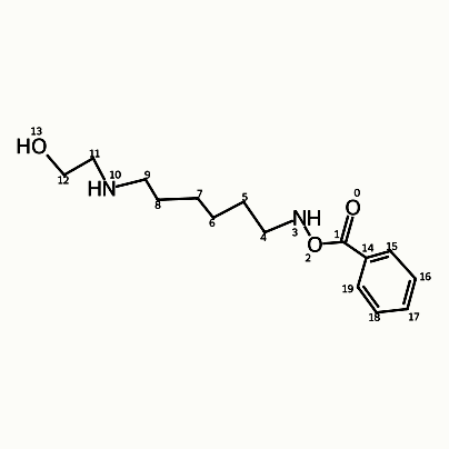 O=C(ONCCCCCCNCCO)c1ccccc1